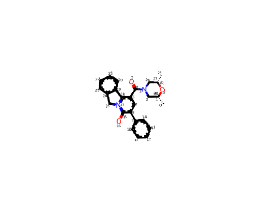 C[C@@H]1CN(C(=O)c2cc(-c3ccccc3)c(=O)n3c2-c2ccccc2C3)C[C@H](C)O1